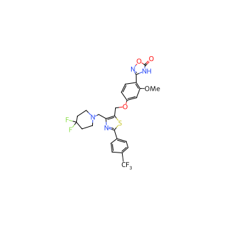 COc1cc(OCc2sc(-c3ccc(C(F)(F)F)cc3)nc2CN2CCC(F)(F)CC2)ccc1-c1noc(=O)[nH]1